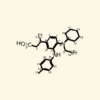 CCC(CC(=O)O)c1ccc(N(CC(C)C)C2CCCCC2)c(Nc2ccc(C)cc2)c1